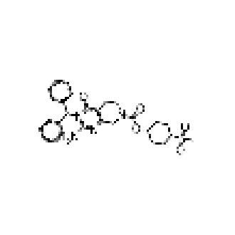 CS(=O)(=O)[C@H]1CC[C@H](OC(=O)N2CCc3c(nc(N)n(C(c4ccccc4)c4ccccc4)c3=O)C2)CC1